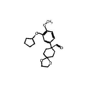 COc1ccc(C2(C=O)CCC3(CC2)OCCO3)cc1OC1CCCC1